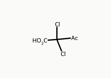 CC(=O)C(Cl)(Cl)C(=O)O